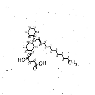 CCCCCCCCCCC=CN(C1CCCCC1)C1CCCCC1.O=C(O)CCC(=O)O